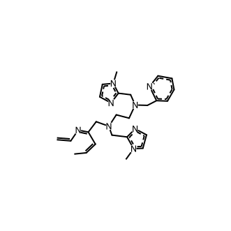 C=C/N=C(\C=C/C)CN(CCN(Cc1ccccn1)Cc1nccn1C)Cc1nccn1C